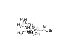 CC(C)N.CC(C)N.O=P(O)(O)OCC(Br)CBr